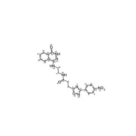 O=C(CCc1nc(-c2ccc([N+](=O)[O-])cc2)no1)NCCNc1n[nH]c(=O)c2ccccc12